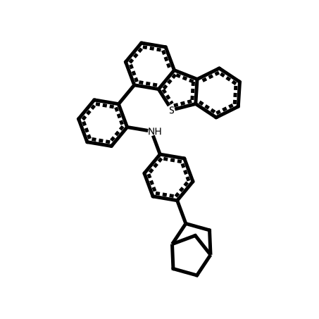 c1ccc(-c2cccc3c2sc2ccccc23)c(Nc2ccc(C3CC4CCC3C4)cc2)c1